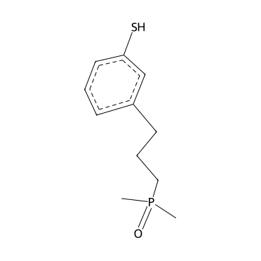 CP(C)(=O)CCCc1cccc(S)c1